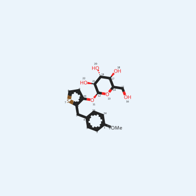 COc1ccc(Cc2sccc2O[C@@H]2OC(CO)[C@H](O)[C@@H](O)[C@@H]2O)cc1